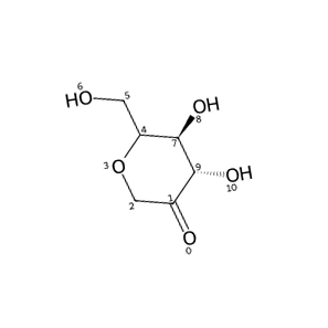 O=C1COC(CO)[C@@H](O)[C@@H]1O